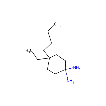 CCCCC1(CC)CCC(N)(N)CC1